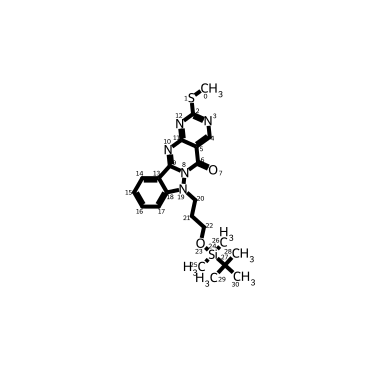 CSc1ncc2c(=O)n3c(nc2n1)c1ccccc1n3CCCO[Si](C)(C)C(C)(C)C